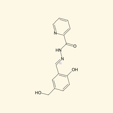 O=C(N/N=C/c1cc(CO)ccc1O)c1ccccn1